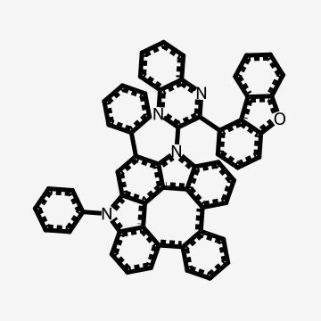 c1ccc(-c2cc3c4c5c(cccc5n3-c3ccccc3)c3ccccc3c3cccc5c3c4c2n5-c2nc3ccccc3nc2-c2cccc3oc4ccccc4c23)cc1